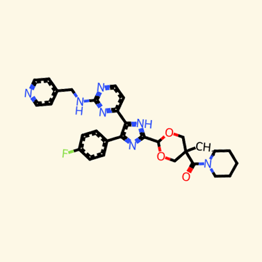 CC1(C(=O)N2CCCCC2)COC(c2nc(-c3ccc(F)cc3)c(-c3ccnc(NCc4ccncc4)n3)[nH]2)OC1